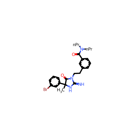 CCCN(CCC)C(=O)c1cccc(CCN2C(=N)NC(C)(c3cccc(Br)c3)C2=O)c1